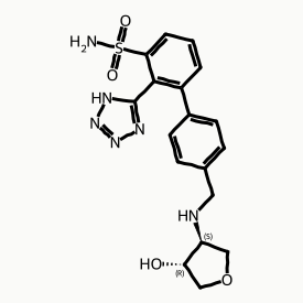 NS(=O)(=O)c1cccc(-c2ccc(CN[C@H]3COC[C@@H]3O)cc2)c1-c1nnn[nH]1